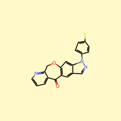 O=C1c2cc3cnn(-c4ccc(F)cc4)c3cc2OCc2ncccc21